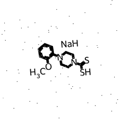 COc1ccccc1N1CCN(C(=S)S)CC1.[NaH]